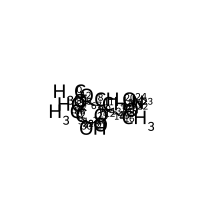 CC(=O)O[C@H]1/C=C/[C@H](C)[C@@H](/C(C)=C/C=C/[C@@H](C)COC(=O)N2CCC2)OC(=O)C[C@@H](O)CC[C@]1(C)O